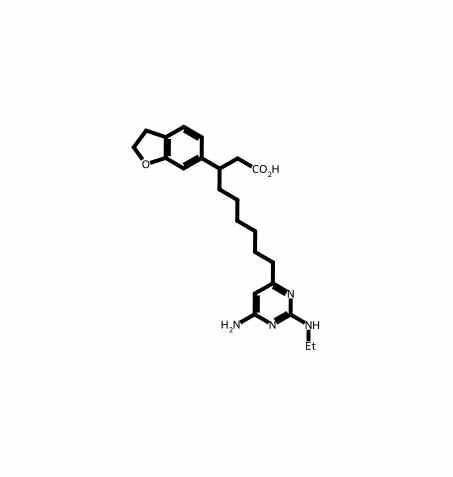 CCNc1nc(N)cc(CCCCCCC(CC(=O)O)c2ccc3c(c2)OCC3)n1